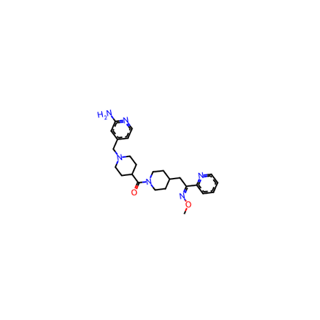 CON=C(CC1CCN(C(=O)C2CCN(Cc3ccnc(N)c3)CC2)CC1)c1ccccn1